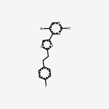 Fc1ccc(CCc2ncc(-c3nc(Cl)ncc3Br)s2)cc1